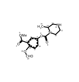 COC(=O)c1cc(OC(=O)N2CCNCC2C)ccc1OC=O